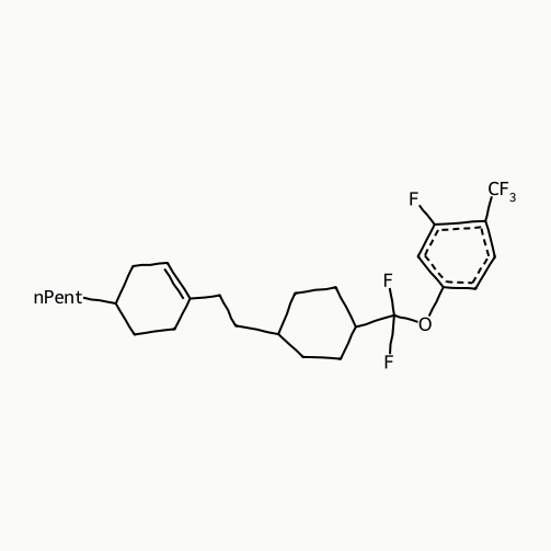 CCCCCC1CC=C(CCC2CCC(C(F)(F)Oc3ccc(C(F)(F)F)c(F)c3)CC2)CC1